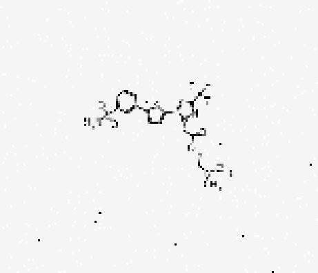 CN(C)CCOC(=O)Cn1nc(C(F)(F)F)cc1-c1ccc(-c2cccc(S(N)(=O)=O)c2)s1